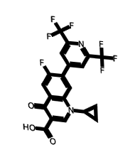 O=C(O)c1cn(C2CC2)c2cc(-c3cc(C(F)(F)F)nc(C(F)(F)F)c3)c(F)cc2c1=O